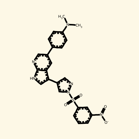 CN(C)c1ccc(-c2cnc3[nH]cc(-c4cnn(S(=O)(=O)c5cccc([N+](=O)[O-])c5)c4)c3c2)cc1